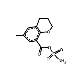 Cc1cc2c(c(C(=O)OS(N)(=O)=O)c1)OCCC2